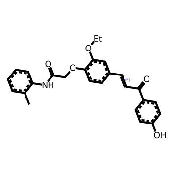 CCOc1cc(/C=C/C(=O)c2ccc(O)cc2)ccc1OCC(=O)Nc1ccccc1C